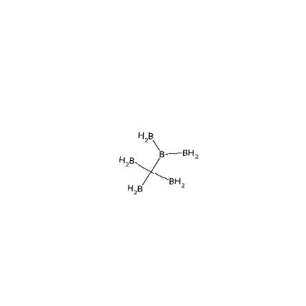 BB(B)C(B)(B)B